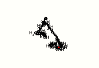 CC[C@@]1(O)C(=O)OCc2c1cc1n(c2=O)Cc2c-1nc1cc(F)c(C)c3c1c2[C@@H](NC(=O)COCNC(=O)CNC(=O)[C@H](Cc1ccccc1)NC(=O)CNC(=O)CNC(=O)CCOCCOCCOCCOCc1cn(CC(=O)NCC2O[C@H](OP(=O)(O)OP(=O)(O)OC[C@H]4O[C@@H](n5cnc6c(=O)[nH]c(N)nc65)C(O)C4O)C(O)C(O)[C@@H]2O)nn1)CC3